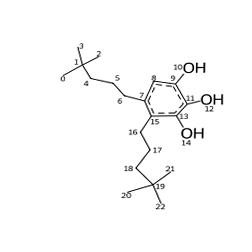 CC(C)(C)CCCc1cc(O)c(O)c(O)c1CCCC(C)(C)C